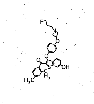 Cc1ccc(C(=O)c2sc3cc(O)ccc3c2Oc2ccc(OC3CN(CCCF)C3)cc2)c(C)c1